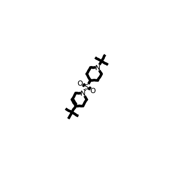 CC(C)(C)C1=CCN(S(=O)(=O)C2CCN(C(C)(C)C)CC2)CC1